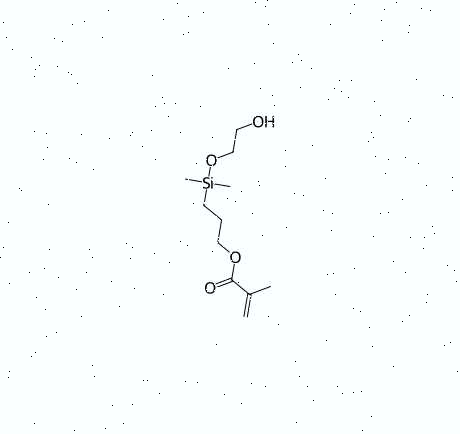 C=C(C)C(=O)OCCC[Si](C)(C)OCCO